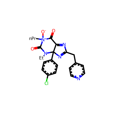 CCC[N+]1([O-])C(=O)C2=NC(Cc3ccncc3)=NC2(c2ccc(Cl)cc2)N(CC)C1=O